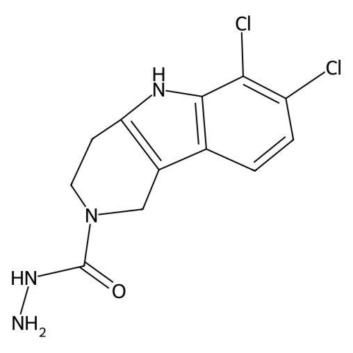 NNC(=O)N1CCc2[nH]c3c(Cl)c(Cl)ccc3c2C1